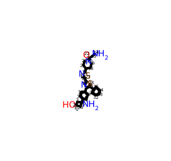 C[C@]1(O)C[C@@](N)(c2ccc(-c3nc(-c4cnc(C5CCN(C(=O)CN)CC5)s4)sc3-c3ccccc3)cc2)C1